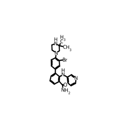 CC1(C)CN(c2ccc(-c3cccc(C(N)=O)c3Nc3cccnc3)cc2Br)CCN1